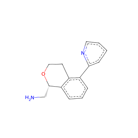 NC[C@@H]1OCCc2c(-c3ccccn3)cccc21